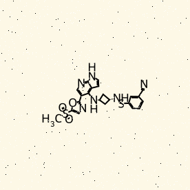 CS(=O)(=O)c1cnc(-c2cnc3[nH]ccc3c2N[C@H]2C[C@@H](NSc3cccc(C#N)c3)C2)o1